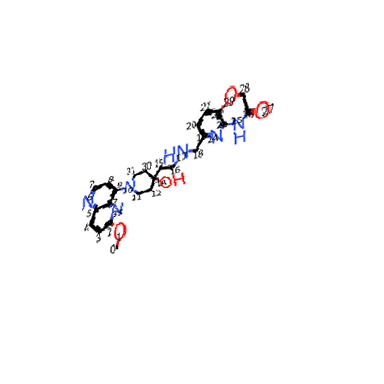 COc1ccc2nccc(N3CCC(O)(CCNCc4ccc5c(n4)NC(=O)CO5)CC3)c2n1